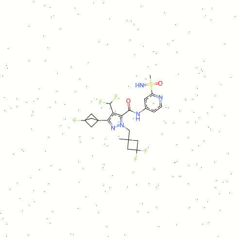 CC1(Cn2nc(C34CC(F)(C3)C4)c(C(F)F)c2C(=O)Nc2ccnc(S(C)(=N)=O)c2)CC(F)(F)C1